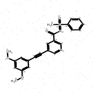 COc1cc(C#Cc2cncc(C(=O)N=S(C)(=O)c3ccccc3)c2)cc(OC)c1